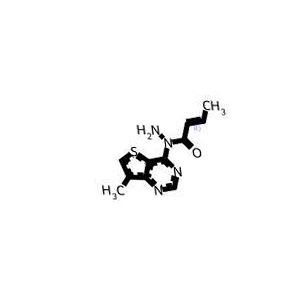 C/C=C/C(=O)N(N)c1ncnc2c(C)csc12